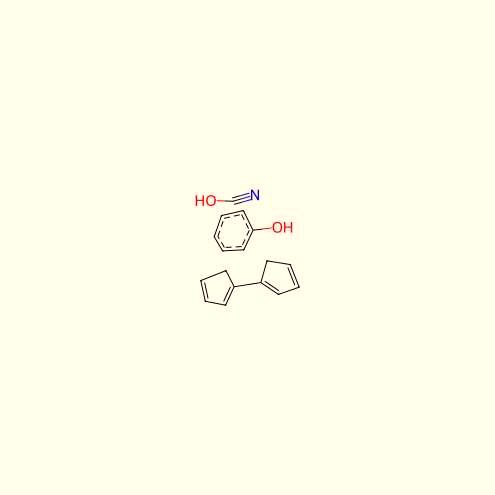 C1=CCC(C2=CC=CC2)=C1.N#CO.Oc1ccccc1